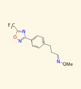 CO/N=C/CCc1ccc(-c2noc(C(F)(F)F)n2)cc1